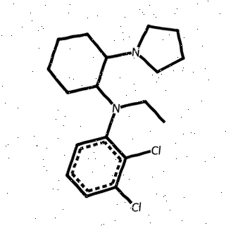 CCN(c1cccc(Cl)c1Cl)C1CCCCC1N1CCCC1